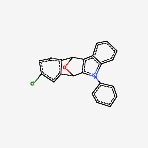 Clc1ccc2c(c1)C1OC2c2c1n(-c1ccccc1)c1ccccc21